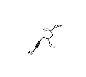 CC#CC[C@H](C)CN(C)OC